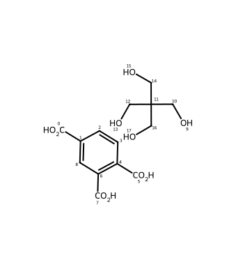 O=C(O)c1ccc(C(=O)O)c(C(=O)O)c1.OCC(CO)(CO)CO